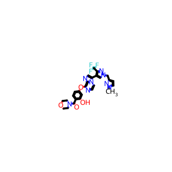 Cn1ccc(Cn2cc(-c3cnc4c(Oc5ccc(C(=O)N6CCOCC6)c(O)c5)nccn34)c(C(F)(F)F)n2)n1